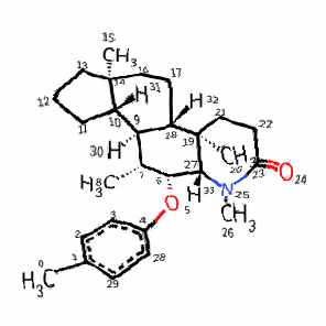 Cc1ccc(O[C@@H]2[C@H](C)[C@H]3[C@@H]4CCC[C@@]4(C)CC[C@@H]3[C@@]3(C)CCC(=O)N(C)[C@H]23)cc1